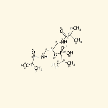 CC(C)C(=O)NCC(CNC(=O)C(C)C)OP(=O)(O)C(C)C